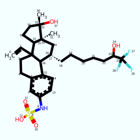 C=CC12CCc3cc(NS(=O)(=O)O)ccc3C1[C@@H](CCCCCC(O)C(F)(F)F)C[C@@]1(C)C2CC[C@]1(C)O